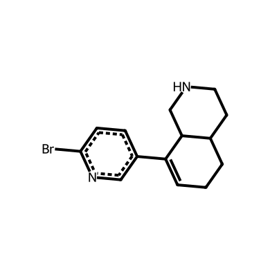 Brc1ccc(C2=CCCC3CCNCC23)cn1